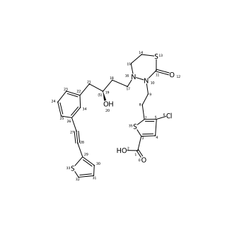 O=C(O)c1cc(Cl)c(CCN2C(=O)SCCN2CC[C@@H](O)Cc2cccc(C#Cc3cccs3)c2)s1